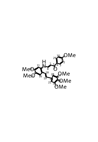 COc1ccc(C(=O)C=CNc2cc(OC)c(OC)cc2C=Cc2cc(OC)c(OC)c(OC)c2)cc1